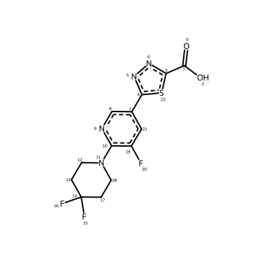 O=C(O)c1nnc(-c2cnc(N3CCC(F)(F)CC3)c(F)c2)s1